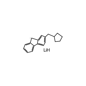 [CH]1c2ccccc2-c2ccc(CC3CCCC3)cc21.[LiH]